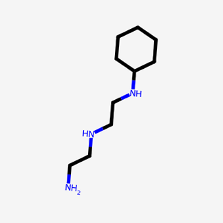 NCCNCCNC1CCCCC1